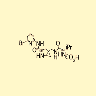 CC(C)[C@H](NC(=O)O)C(=O)NCC12CC1N[C@H](C(=O)Nc1cccc(Br)n1)C2